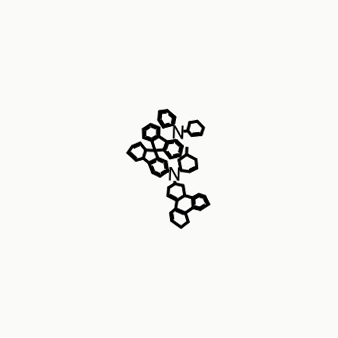 CC1CC=CC(N(c2ccc3c(c2)C2(c4ccccc4-c4c(N(c5ccccc5)C5C=CCCC5)cccc42)C2C=CC=CC32)C2CC=C3C4=C(CCC=C4)c4ccccc4C3C2)C1